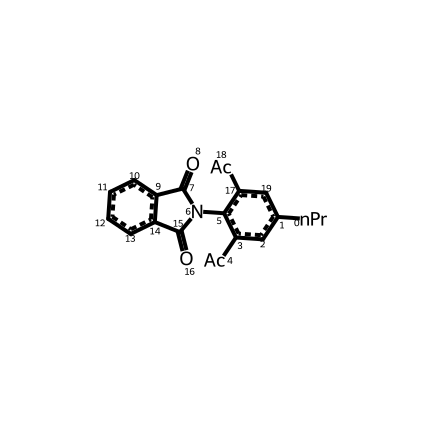 CCCc1cc(C(C)=O)c(N2C(=O)c3ccccc3C2=O)c(C(C)=O)c1